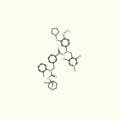 COc1ccc([C@@H](Cc2c(Cl)c[n+]([O-])cc2Cl)OC(=O)c2cccc(CN(C(=O)O[C@H]3CN4CCC3CC4)c3ccccc3F)c2)cc1OC1CCCC1